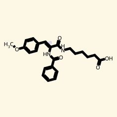 COc1ccc(/C=C(\NC(=O)c2ccccc2)C(=O)NCCCCCC(=O)O)cc1